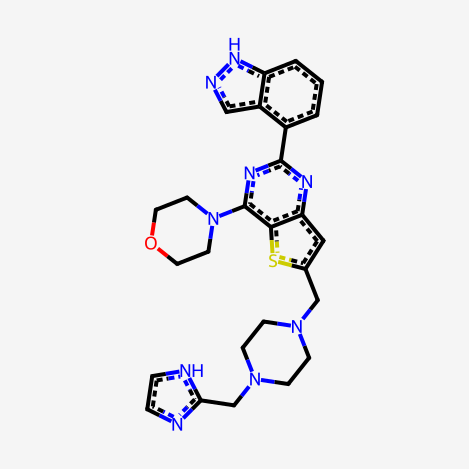 c1cc(-c2nc(N3CCOCC3)c3sc(CN4CCN(Cc5ncc[nH]5)CC4)cc3n2)c2cn[nH]c2c1